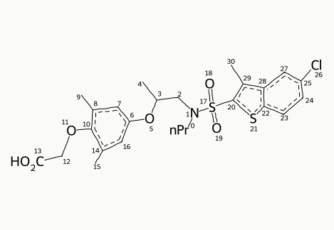 CCCN(CC(C)Oc1cc(C)c(OCC(=O)O)c(C)c1)S(=O)(=O)c1sc2ccc(Cl)cc2c1C